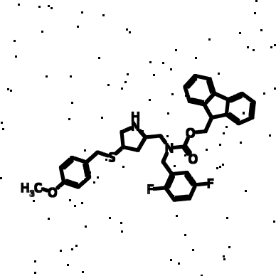 COc1ccc(CSC2CNC(CN(Cc3cc(F)ccc3F)C(=O)OCC3c4ccccc4-c4ccccc43)C2)cc1